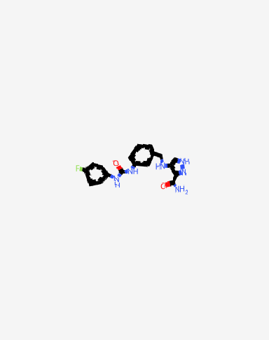 NC(=O)c1n[nH]cc1NCc1cccc(NC(=O)Nc2ccc(F)cc2)c1